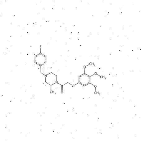 COc1cc(OCC(=O)N2CCN(Cc3ccc(F)cc3)CC2C)cc(OC)c1OC